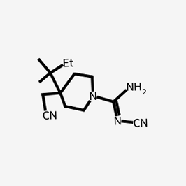 CCC(C)(C)C1(CC#N)CCN(/C(N)=N/C#N)CC1